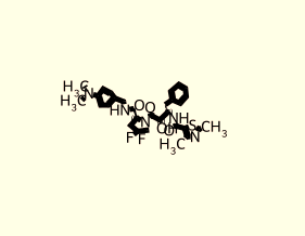 Cc1nc(C)c(C(=O)N[C@@H](Cc2ccccc2)[C@H](O)C(=O)N2CC(F)(F)C[C@H]2C(=O)NCc2ccc(N(C)C)cc2)s1